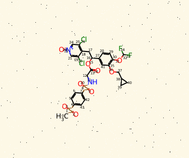 CS(=O)(=O)c1ccc(S(=O)(=O)NCC(=O)OC(Cc2c(Cl)c[n+]([O-])cc2Cl)c2ccc(OC(F)F)c(OCC3CC3)c2)cc1